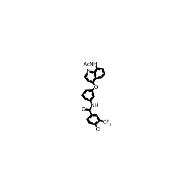 CC(=O)Nc1cccc2c(Oc3cccc(NC(=O)c4ccc(Cl)c(C(F)(F)F)c4)c3)ccnc12